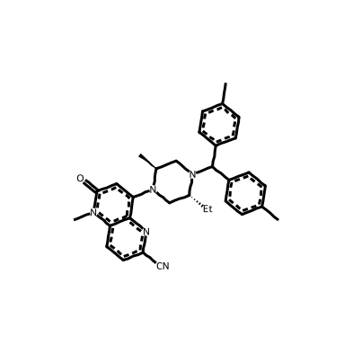 CC[C@@H]1CN(c2cc(=O)n(C)c3ccc(C#N)nc23)[C@@H](C)CN1C(c1ccc(C)cc1)c1ccc(C)cc1